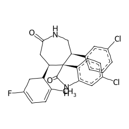 CC1=CC=C(F)CC1[C@H]1CC(=O)NC[C@@H](c2cccc(Cl)c2)[C@]12C(=O)Nc1cc(Cl)ccc12